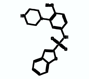 COc1ccc(NS(=O)(=O)c2cc3ccccc3o2)cc1N1CCNCC1